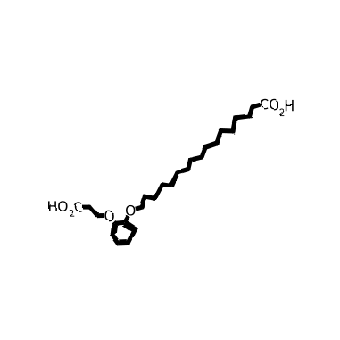 O=C(O)CCCCCCCCCCCCCCCCOc1ccccc1OCCC(=O)O